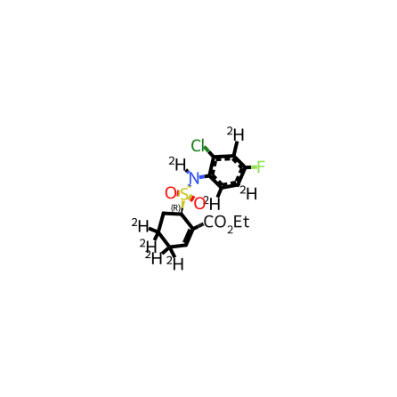 [2H]c1c([2H])c(N([2H])S(=O)(=O)[C@@H]2CC([2H])([2H])C([2H])([2H])C=C2C(=O)OCC)c(Cl)c([2H])c1F